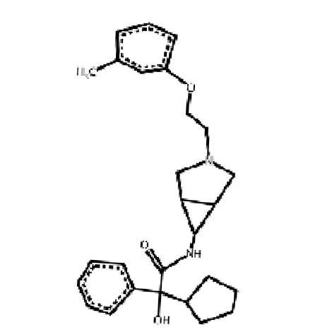 Cc1cccc(OCCN2CC3C(C2)C3NC(=O)C(O)(c2ccccc2)C2CCCC2)c1